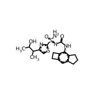 CC(O)C(C)c1csc(S(N)(=O)=NC(=O)Nc2c3c(cc4c2CC4)CCC3)n1